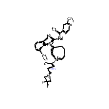 Cc1cc(C(=O)Nc2nc3cccc(Cl)c3n2C2CCCCN(C(=O)/C=C/CN3CC(F)(F)C3)C2)ccn1